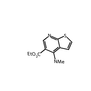 CCOC(=O)c1cnc2sccc2c1NC